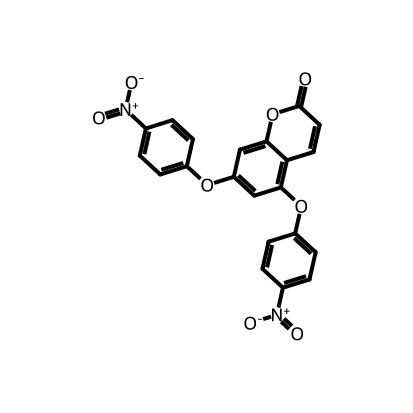 O=c1ccc2c(Oc3ccc([N+](=O)[O-])cc3)cc(Oc3ccc([N+](=O)[O-])cc3)cc2o1